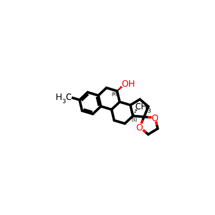 Cc1ccc2c(c1)C[C@@H](O)C1C2CC[C@@]2(C)C1CCC21OCCO1